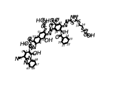 Cc1c(N=Nc2cc3c(O)c(N=Nc4cc(NC(=O)c5ccccc5)c(N=Nc5nnc(SCCSOOO)s5)cc4S(=O)(=O)O)c(SOOO)cc3cc2S(=O)(=O)O)c(O)n2c(nc3ccccc32)c1C#N